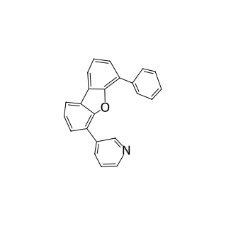 c1ccc(-c2cccc3c2oc2c(-c4cccnc4)cccc23)cc1